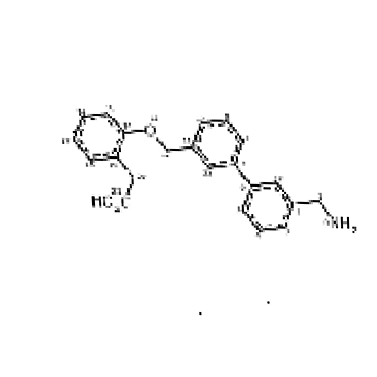 NCc1cccc(-c2cccc(COc3ccccc3CC(=O)O)c2)c1